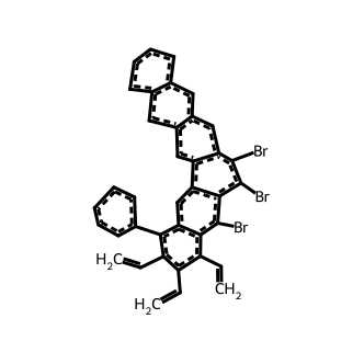 C=Cc1c(C=C)c(C=C)c2c(Br)c3c(Br)c(Br)c4cc5cc6ccccc6cc5cc4c3cc2c1-c1ccccc1